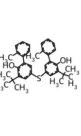 Cc1ccccc1-c1cc(Sc2cc(-c3ccccc3C)c(O)c(C(C)(C)C)c2)cc(C(C)(C)C)c1O